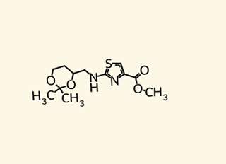 COC(=O)c1csc(NCC2CCOC(C)(C)O2)n1